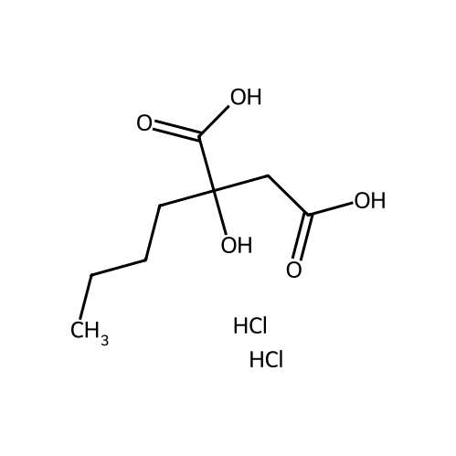 CCCCC(O)(CC(=O)O)C(=O)O.Cl.Cl